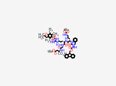 Cc1c(C)c(S(=O)(=O)NC(=N)NCCC[C@H](NC(=O)[C@H](CCCNC(=O)OC(C)(C)C)NC(=O)N(Cc2ccccc2)NC(=O)OCC2c3ccccc3-c3ccccc32)C(=O)NCC(=O)N[C@@H](CC(=O)OC(C)(C)C)C(=O)O)c(C)c2c1OC(C)(C)C2